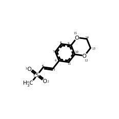 CS(=O)(=O)C=Cc1ccc2c(c1)OCCO2